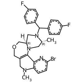 C[C@@H]1CN2C3=C(COC[C@H]2CN1C(c1ccc(F)cc1)c1ccc(F)cc1)CN(C)c1ccc(Br)nc13